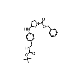 CC(C)(C)OC(=O)NCc1ccc(NC2CCN(C(=O)OCc3ccccc3)C2)cc1